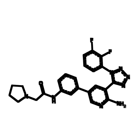 Nc1ncc(-c2cccc(NC(=O)CN3CCCC3)c2)cc1-c1nnnn1-c1cccc(F)c1F